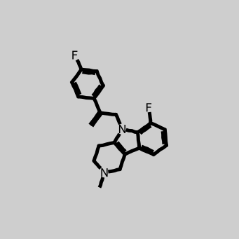 C=C(Cn1c2c(c3cccc(F)c31)CN(C)CC2)c1ccc(F)cc1